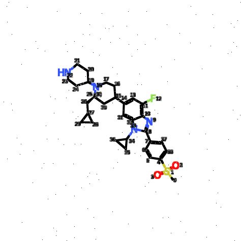 CS(=O)(=O)c1ccc(-c2nc3c(F)cc(C4CCN(C5CCNCC5)[C@H](CC5CC5)C4)cc3n2C2CC2)cc1